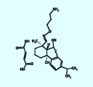 CC(C)c1ccc2c(c1)CC(O)[C@H]1[C@](C)(/C=N/OCCCN)CCC[C@]21C.O=C(O)/C=C/C(=O)O